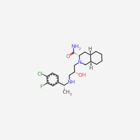 C[C@@H](NC[C@@H](O)CN1C[C@H]2CCCC[C@H]2C[C@H]1C(N)=O)c1ccc(Cl)c(F)c1